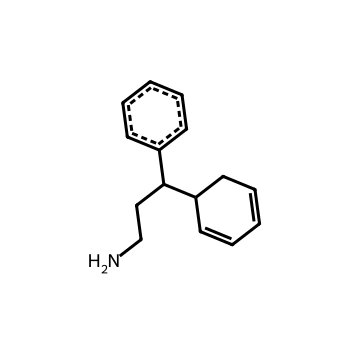 NCCC(c1ccccc1)C1C=CC=CC1